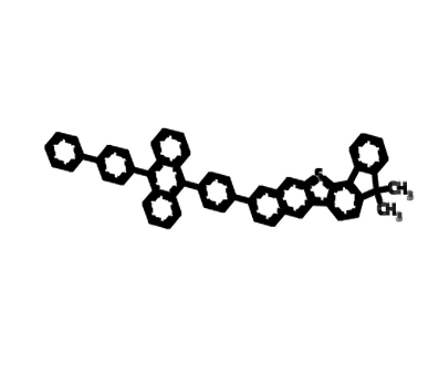 CC1(C)c2ccccc2-c2c1ccc1c2sc2cc3cc(-c4ccc(-c5c6ccccc6c(-c6ccc(-c7ccccc7)cc6)c6ccccc56)cc4)ccc3cc21